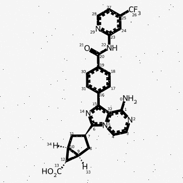 Nc1nccn2c([C@H]3C[C@@H]4[C@H](C3)[C@H]4C(=O)O)nc(-c3ccc(C(=O)Nc4cc(C(F)(F)F)ccn4)cc3)c12